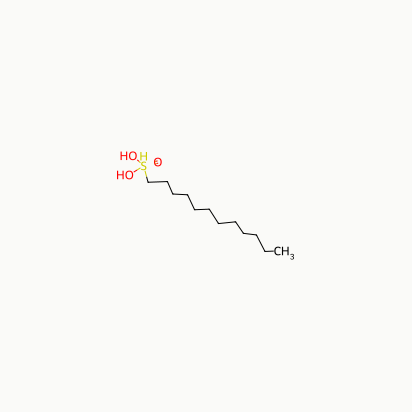 CCCCCCCCCCCC[SH](=O)(O)O